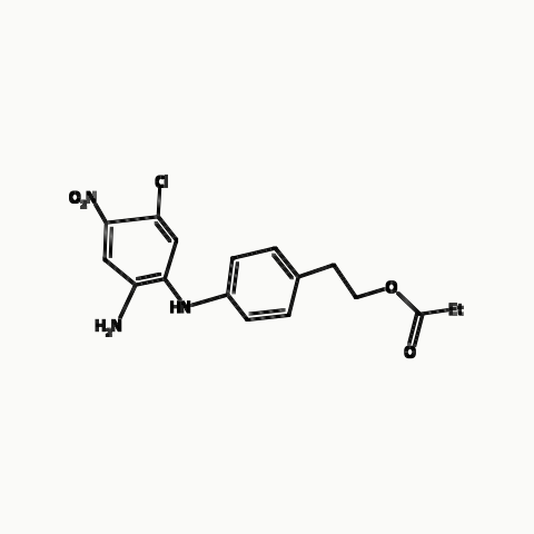 CCC(=O)OCCc1ccc(Nc2cc(Cl)c([N+](=O)[O-])cc2N)cc1